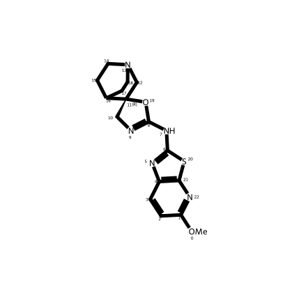 COc1ccc2nc(NC3=NC[C@@]4(CN5CCC4CC5)O3)sc2n1